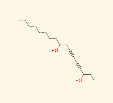 CCCCCCCCC(O)CC#CC#CC(O)CC